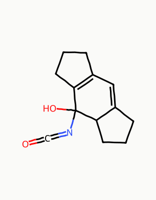 O=C=NC1(O)C2=C(C=C3CCCC31)CCC2